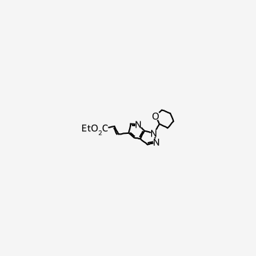 CCOC(=O)/C=C/c1cnc2c(cnn2C2CCCCO2)c1